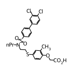 CCCN(CCSc1ccc(OCC(=O)O)c(C)c1)S(=O)(=O)c1ccc(-c2ccc(Cl)c(Cl)c2)cc1